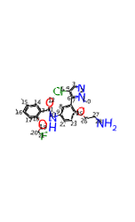 Cn1ncc(Cl)c1-c1cc(NC(=O)c2ccccc2OCF)ccc1OCCN